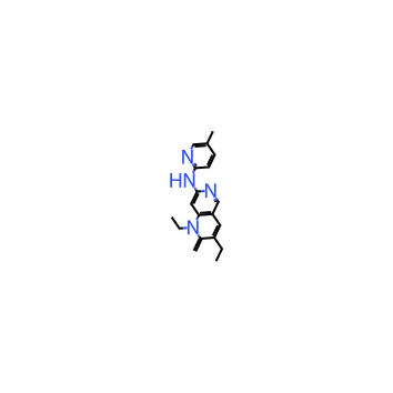 C=C1C(CC)=Cc2cnc(Nc3ccc(C)cn3)cc2N1CC